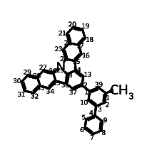 Cc1cc(-c2ccccc2)cc(-c2cc3c4cc5ccccc5cc4n4c5cc6ccccc6cc5c(c2)c34)c1